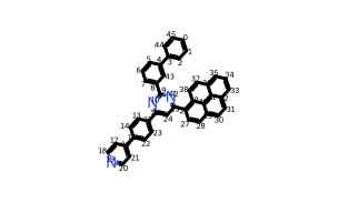 c1ccc(-c2cccc(-c3nc(-c4ccc(-c5ccncc5)cc4)cc(-c4ccc5ccc6cccc7ccc4c5c67)n3)c2)cc1